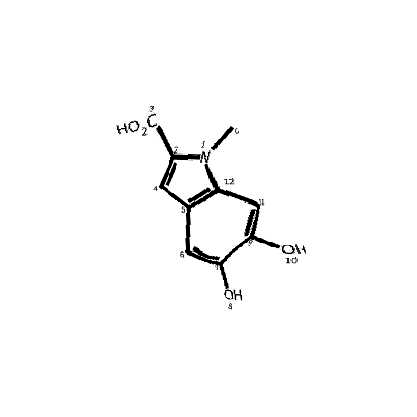 Cn1c(C(=O)O)cc2cc(O)c(O)cc21